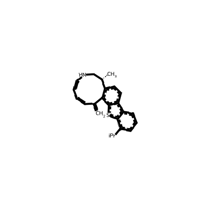 C=C1/C=C\C=C/NC[C@H](C)c2ccc3c(sc4c(C(C)C)cccc43)c21